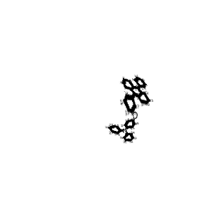 c1ccc(-c2c3ccccc3c(-c3cccc(Oc4ccc(N(c5ccccc5)c5ccccc5)cc4)c3)c3ccccc23)cc1